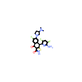 CN(C)C1CCN(c2cc3c(cc2F)C(=O)c2c(s[nH]c2=O)C3c2nc(N)c(F)cc2F)C1